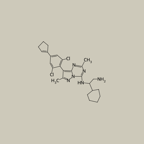 Cc1nc(NC(CN)C2CCCCC2)n2nc(C)c(-c3c(Cl)cc(C4=CCCC4)cc3Cl)c2n1